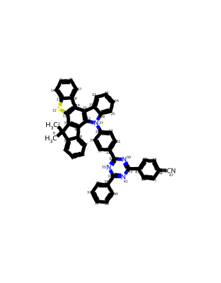 CC1(C)c2ccccc2-c2c1c1sc3ccccc3c1c1c3ccccc3n(-c3ccc(-c4nc(-c5ccccc5)nc(-c5ccc(C#N)cc5)n4)cc3)c21